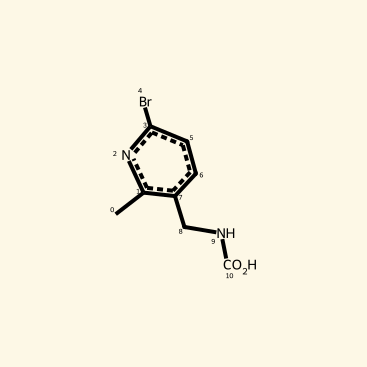 Cc1nc(Br)ccc1CNC(=O)O